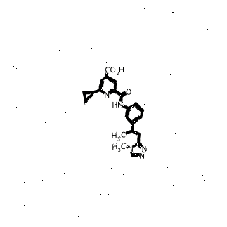 CC(Cc1nncn1C)c1cccc(NC(=O)c2cc(C(=O)O)cc(C3CC3)n2)c1